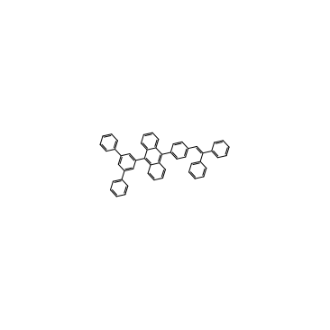 C(=C(c1ccccc1)c1ccccc1)c1ccc(-c2c3ccccc3c(-c3cc(-c4ccccc4)cc(-c4ccccc4)c3)c3ccccc23)cc1